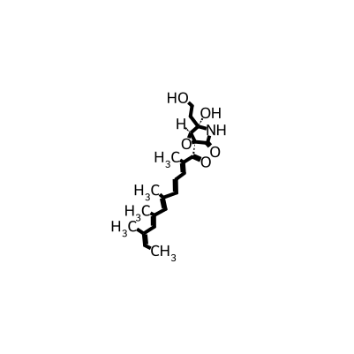 C\C=C(C)/C=C(C)/C=C(C)/C=C/C=C(\C)C(=O)[C@]12O[C@H]1[C@@](O)(CCO)NC2=O